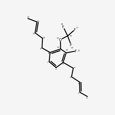 C/C=C/CCc1ccc(CC/C=C/C)c(OC(F)(F)F)c1F